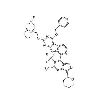 Cc1cc2c(cnn2C2CCCCO2)c(-c2nccc3c2sc2nc(OC[C@@]45CCCN4C[C@H](F)C5)nc(OCc4ccccc4)c23)c1C(F)(F)F